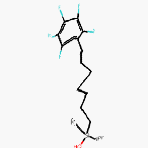 CC(C)[Si](O)(CCCCCCCc1c(F)c(F)c(F)c(F)c1F)C(C)C